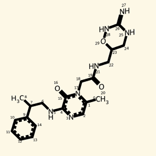 Cc1cnc(NCC(C)c2ccccc2)c(=O)n1CC(=O)NCC1CNC(=N)NO1